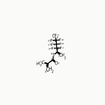 C=C(C)C(=O)SC(=C)C(F)(F)C(F)(F)C(F)(F)C(F)(F)F